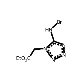 CCOC(=O)Cn1nnnc1NBr